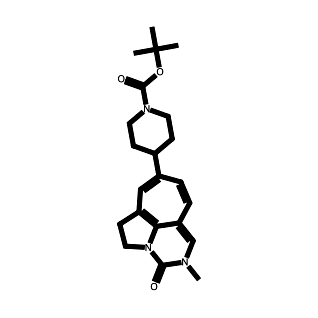 CN1C=C2C=CC(C3CCN(C(=O)OC(C)(C)C)CC3)=CC3=C2N(CC3)C1=O